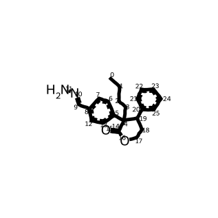 CCCCC1(c2ccc(C=NN)cc2)C(=O)OCCC1c1ccccc1